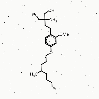 COc1cc(OCCCC(C)CCCC(C)C)ccc1CCC(N)(CO)CC(C)C